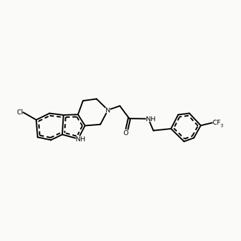 O=C(CN1CCc2c([nH]c3ccc(Cl)cc23)C1)NCc1ccc(C(F)(F)F)cc1